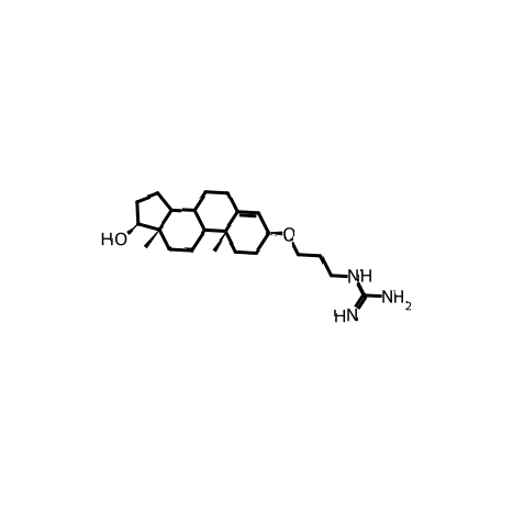 C[C@]12CC[C@H](OCCCNC(=N)N)C=C1CCC1C2CC[C@@]2(C)C1CC[C@@H]2O